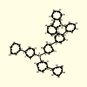 c1ccc(-c2ccc(N(c3ccc(-c4ccc(-c5ccccc5-n5c6ccccc6c6ccccc65)cc4)cc3)c3cccc(-c4ccccc4)c3)cc2)cc1